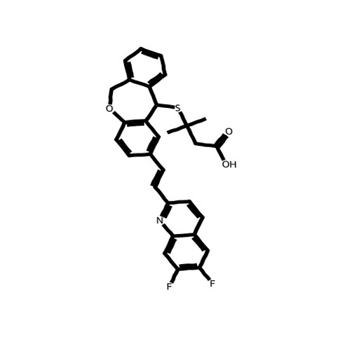 CC(C)(CC(=O)O)SC1c2ccccc2COc2ccc(C=Cc3ccc4cc(F)c(F)cc4n3)cc21